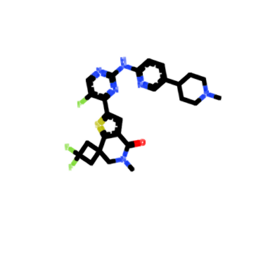 CN1CCC(c2ccc(Nc3ncc(F)c(-c4cc5c(s4)C4(CN(C)C5=O)CC(F)(F)C4)n3)nc2)CC1